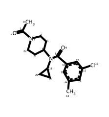 CC(=O)N1CCC(N(C(=O)c2cc(C)cc(Cl)c2)C2CC2)CC1